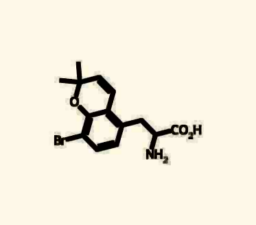 CC1(C)C=Cc2c(CC(N)C(=O)O)ccc(Br)c2O1